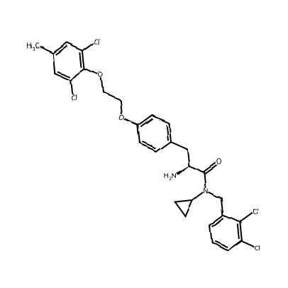 Cc1cc(Cl)c(OCCOc2ccc(C[C@H](N)C(=O)N(Cc3cccc(Cl)c3Cl)C3CC3)cc2)c(Cl)c1